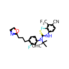 CC(C)(C=O)N(C(=S)Nc1ccc(C#N)c(C(F)(F)F)c1F)c1ccc(CCCc2ncco2)c(F)c1